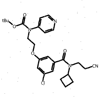 CC(C)(C)OC(=O)N(CCOc1cc(Cl)cc(C(=O)N(CCC#N)C2CCC2)c1)c1ccncc1